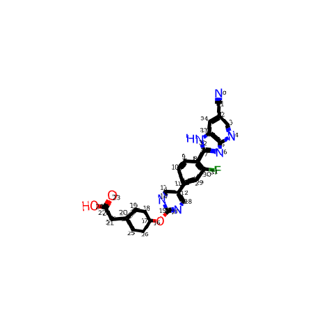 N#Cc1cnc2nc(-c3ccc(-c4cnc(OC5CCC(CC(=O)O)CC5)nc4)cc3F)[nH]c2c1